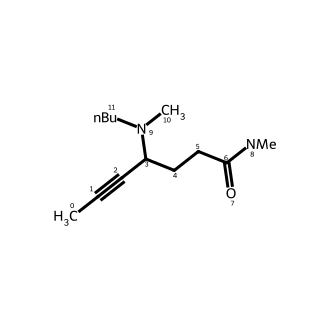 CC#CC(CCC(=O)NC)N(C)CCCC